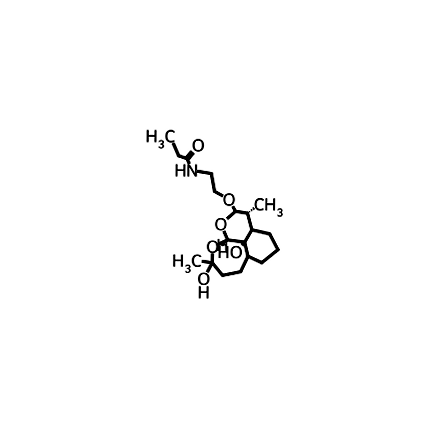 CCC(=O)NCCOC1O[C@@H]2OC(C)(O)CCC3CCCC([C@H]1C)[C@]32O